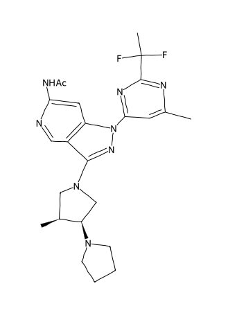 CC(=O)Nc1cc2c(cn1)c(N1C[C@@H](N3CCCC3)[C@@H](C)C1)nn2-c1cc(C)nc(C(C)(F)F)n1